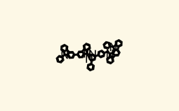 c1ccc(-c2cc(-c3ccc(Cn4c5ccccc5c5ccc6c7ccccc7n(-c7ccccc7)c6c54)cc3)nc(-n3c4ccccc4c4cc(-c5ccc6c(c5)c5ccccc5n6-c5ccccc5)ccc43)n2)cc1